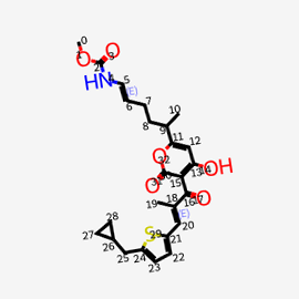 COC(=O)N/C=C/CCC(C)c1cc(O)c(C(=O)/C(C)=C/c2ccc(CC3CC3)s2)c(=O)o1